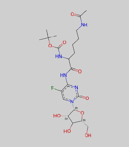 CC(=O)NCCCCC(NC(=O)OC(C)(C)C)C(=O)Nc1nc(=O)n([C@@H]2O[C@H](CO)C(O)[C@@H]2O)cc1F